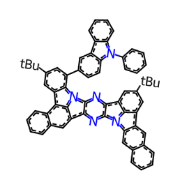 CC(C)(C)c1cc(-c2ccc3c(c2)c2ccccc2n3-c2ccccc2)c2c(c1)c1c3ccccc3cc3c4nc5c(nc4n2c31)c1cc(C(C)(C)C)cc2c3cc4ccccc4cc3n5c21